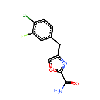 NC(=O)c1nc([CH]c2ccc(Cl)c(F)c2)co1